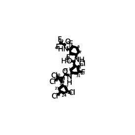 O=C(Nc1c(F)ccc(NC(O)c2cc(NC(=O)[C@H]3[C@H](c4cc(Cl)cc(Cl)c4)C3(Cl)Cl)cc(F)c2Cl)c1F)C(F)F